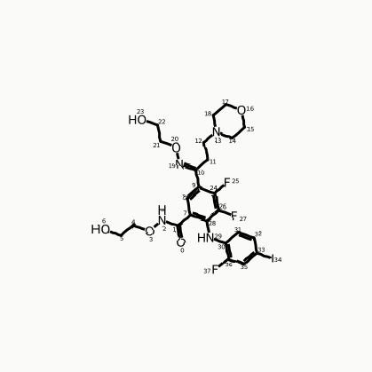 O=C(NOCCO)c1cc(C(CCN2CCOCC2)=NOCCO)c(F)c(F)c1Nc1ccc(I)cc1F